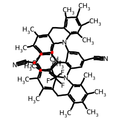 Cc1c(C)c(C)c2c(c1C)Cc1c(C)c(C)c(C)c(C)c1N2c1cc(C#N)cc(N2c3c(C)c(C)c(C)c(C)c3Cc3c(C)c(C)c(C)c(C)c32)c1-c1ccc(C#N)cc1C(F)(F)F